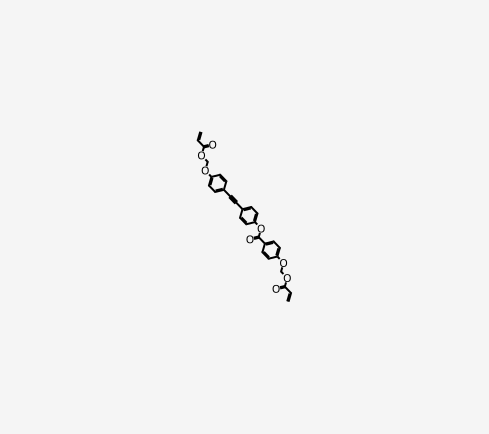 C=CC(=O)OCOc1ccc(C#Cc2ccc(OC(=O)c3ccc(OCOC(=O)C=C)cc3)cc2)cc1